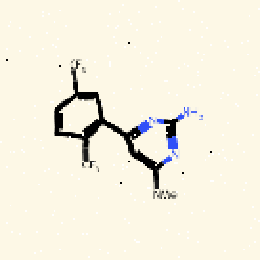 CNc1cc(-c2cc(C(F)(F)F)ccc2C(F)(F)F)nc(N)n1